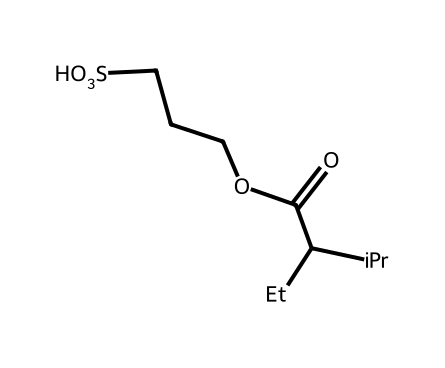 CCC(C(=O)OCCCS(=O)(=O)O)C(C)C